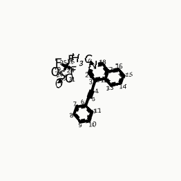 C[n+]1cc(C#Cc2ccccc2)c2ccccc2c1.O=S(=O)([O-])C(F)(F)F